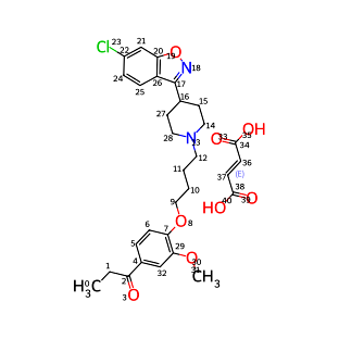 CCC(=O)c1ccc(OCCCCN2CCC(c3noc4cc(Cl)ccc34)CC2)c(OC)c1.O=C(O)/C=C/C(=O)O